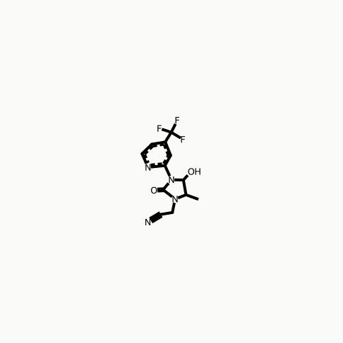 CC1C(O)N(c2cc(C(F)(F)F)ccn2)C(=O)N1CC#N